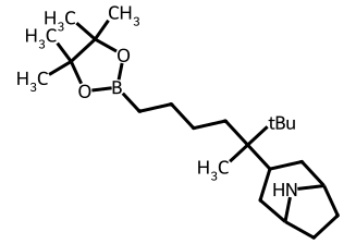 CC(C)(C)C(C)(CCCCB1OC(C)(C)C(C)(C)O1)C1CC2CCC(C1)N2